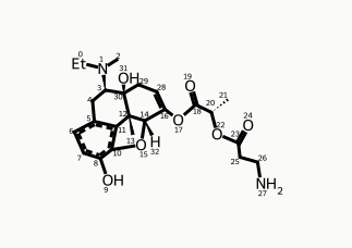 CCN(C)[C@@H]1Cc2ccc(O)c3c2[C@@]2(C)[C@@H](O3)C(OC(=O)[C@H](C)OC(=O)CCN)=CC[C@@]12O